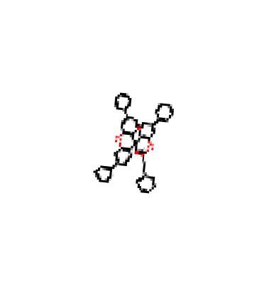 c1ccc(-c2ccc3c(c2)Oc2cc(-c4ccccc4)ccc2C32c3ccc(-c4ccccc4)cc3Oc3cc(-c4ccccc4)ccc32)cc1